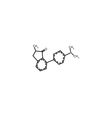 CC1Cc2cccc(-c3ccc(N(C)C)cc3)c2C1=O